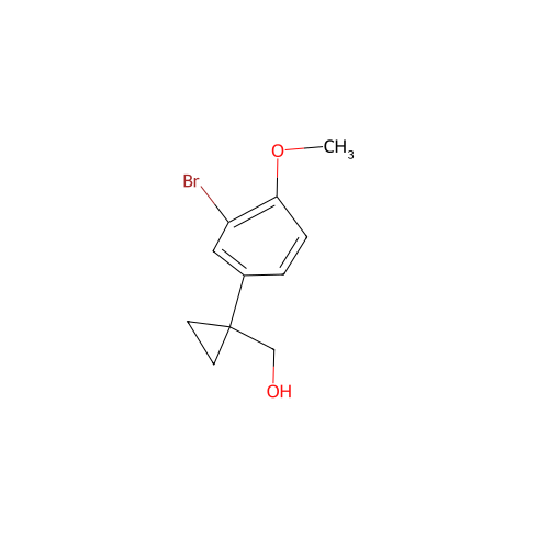 COc1ccc(C2(CO)CC2)cc1Br